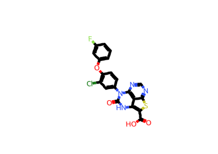 O=C(O)c1sc2ncnc3c2c1NC(=O)N3c1ccc(Oc2cccc(F)c2)c(Cl)c1